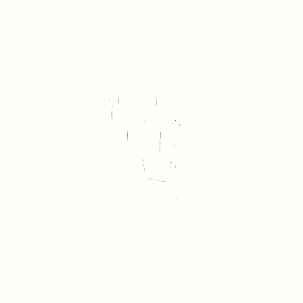 CC1=N[C@H]2[C@@H](O1)O[C@H](CO)[C@H](O)[C@@H]2N